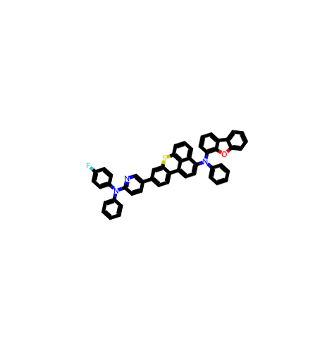 Fc1ccc(N(c2ccccc2)c2ccc(-c3ccc4c(c3)Sc3cccc5c(N(c6ccccc6)c6cccc7c6oc6ccccc67)ccc-4c35)cn2)cc1